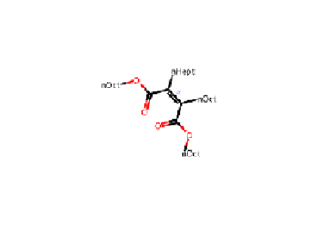 CCCCCCCCOC(=O)/C(CCCCCCC)=C(/CCCCCCCC)C(=O)OCCCCCCCC